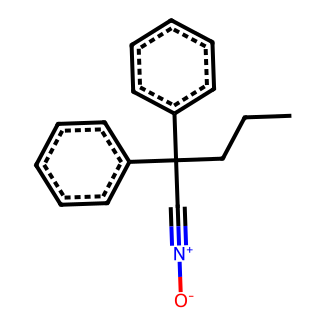 CCCC(C#[N+][O-])(c1ccccc1)c1ccccc1